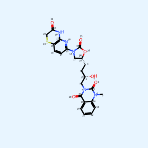 Cn1c(=O)n(C[C@@H](O)CC[C@@H]2CN(c3ccc4c(n3)NC(=O)CS4)C(=O)O2)c(=O)c2ccccc21